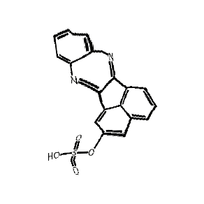 O=S(=O)(O)Oc1cc2c3c(cccc3c1)-c1nc3ccccc3nc1-2